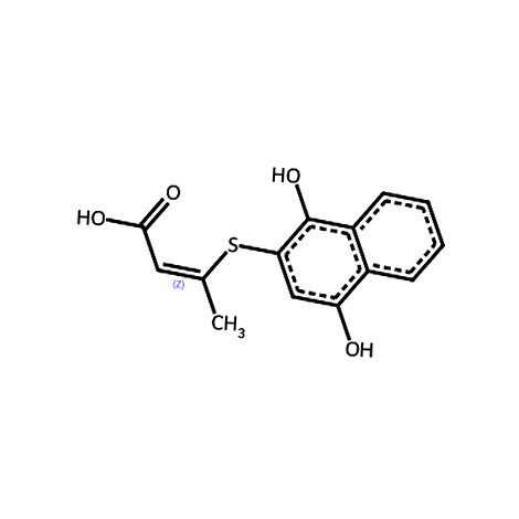 C/C(=C/C(=O)O)Sc1cc(O)c2ccccc2c1O